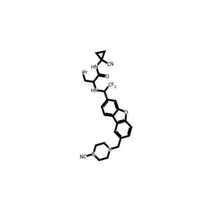 CC(C)CC(NC(c1ccc2c(c1)oc1ccc(CN3CCB(C#N)CC3)cc12)C(F)(F)F)C(=O)NC1(C#N)CC1